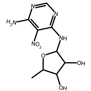 CC1OC(Nc2ncnc(N)c2[N+](=O)[O-])C(O)C1O